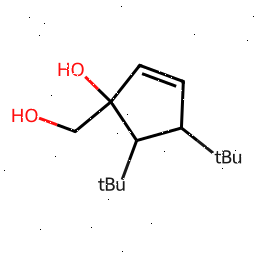 CC(C)(C)C1C=CC(O)(CO)C1C(C)(C)C